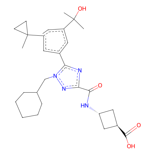 CC(C)(O)c1cc(-c2nc(C(=O)N[C@H]3C[C@H](C(=O)O)C3)nn2CC2CCCCC2)cc(C2(C)CC2)c1